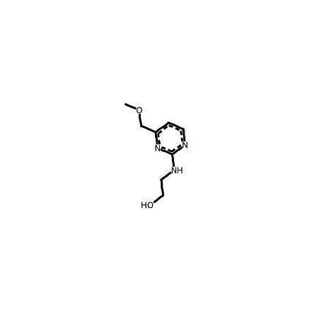 COCc1ccnc(NCCO)n1